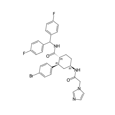 O=C(Cn1ccnc1)N[C@@H]1CC[C@@H](C(=O)NC(c2ccc(F)cc2)c2ccc(F)cc2)[C@H](c2ccc(Br)cc2)C1